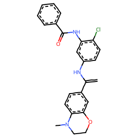 C=C(Nc1ccc(Cl)c(NC(=O)c2ccccc2)c1)c1ccc2c(c1)OCCN2C